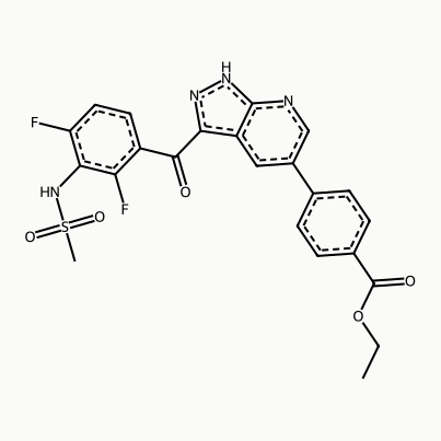 CCOC(=O)c1ccc(-c2cnc3[nH]nc(C(=O)c4ccc(F)c(NS(C)(=O)=O)c4F)c3c2)cc1